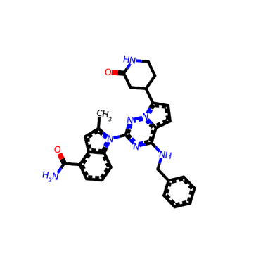 Cc1cc2c(C(N)=O)cccc2n1-c1nc(NCc2ccccc2)c2ccc(C3CCNC(=O)C3)n2n1